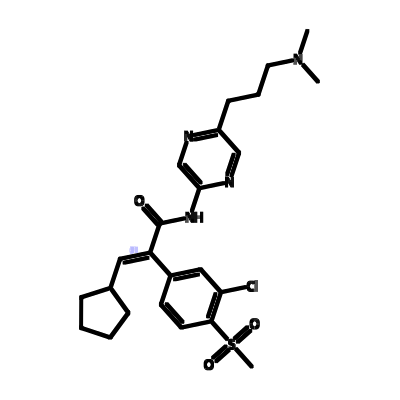 CN(C)CCCc1cnc(NC(=O)/C(=C/C2CCCC2)c2ccc(S(C)(=O)=O)c(Cl)c2)cn1